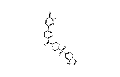 Cn1nc(-c2ccc(C(=O)N3CCN(S(=O)(=O)c4ccc5cc[nH]c5c4)CC3)cc2)ccc1=O